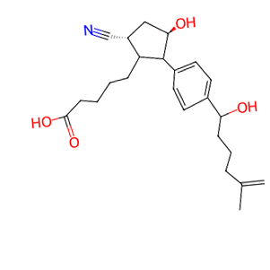 C=C(C)CCCC(O)c1ccc(C2C(CCCCC(=O)O)[C@H](C#N)C[C@H]2O)cc1